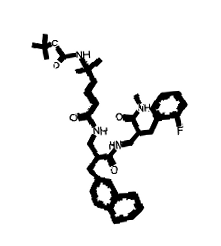 CNC(=O)C(CNC(=O)C(CNC(=O)C=CCC(C)(C)NC(=O)OC(C)(C)C)Cc1ccc2ccccc2c1)Cc1ccccc1F